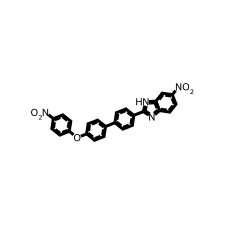 O=[N+]([O-])c1ccc(Oc2ccc(-c3ccc(-c4nc5ccc([N+](=O)[O-])cc5[nH]4)cc3)cc2)cc1